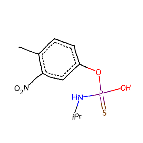 Cc1ccc(OP(O)(=S)NC(C)C)cc1[N+](=O)[O-]